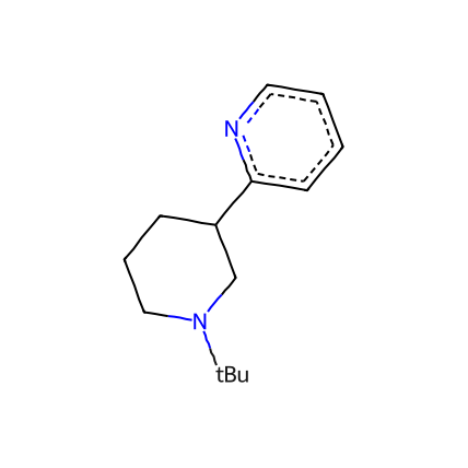 CC(C)(C)N1CCCC(c2ccccn2)C1